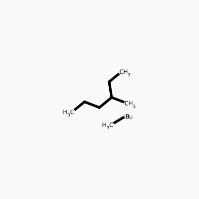 CCC(C)C.CCCC(C)CC